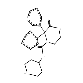 O=C(OC1CCNCC1)N1CCNC(=O)C1(c1ccccc1)c1cccnc1